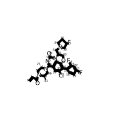 C=CC(=O)N1C[C@H](C)N(c2nc(=O)n3c4c(c(-c5ccc(F)cc5F)c(Cl)cc24)OCC3CN2CCC(F)C2)C[C@H]1C